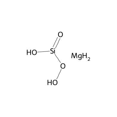 O=[Si](O)OO.[MgH2]